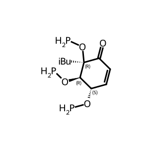 CCC(C)[C@]1(OP)C(=O)C=C[C@H](OP)[C@H]1OP